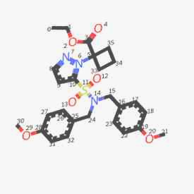 CCOC(=O)C1(n2nccc2S(=O)(=O)N(Cc2ccc(OC)cc2)Cc2ccc(OC)cc2)CCC1